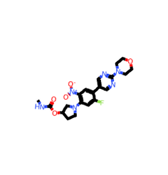 CNC(=O)OC1CCN(c2cc(F)c(-c3cnc(N4CCOCC4)nc3)cc2[N+](=O)[O-])C1